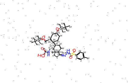 Cc1ccc(S(=O)(=O)N/N=C2/CC[C@H]3[C@H](CNC(=O)O)[C@@H]([C@]4(C)CC[C@H](O[Si](C)(C)C(C)(C)C)C[C@@H]4CO[Si](C)(C)C(C)(C)C)CC[C@]23C)cc1